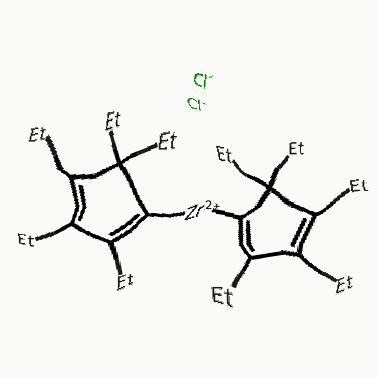 CCC1=C(CC)C(CC)(CC)[C]([Zr+2][C]2=C(CC)C(CC)=C(CC)C2(CC)CC)=C1CC.[Cl-].[Cl-]